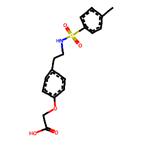 Cc1ccc(S(=O)(=O)NCCc2ccc(OCC(=O)O)cc2)cc1